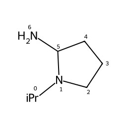 CC(C)N1CCCC1N